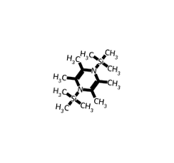 CC1=C(C)N([Si](C)(C)C)C(C)=C(C)N1[Si](C)(C)C